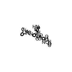 CC(C)c1ccccc1[C@H]1CCCN1C1CC2(CCN(c3ccc(C(=O)NS(=O)(=O)c4cc5c(c([N+](=O)[O-])c4)O[C@@H](CN4CCOCC4)CO5)c(Oc4cnc5[nH]ccc5c4)c3)CC2)C1